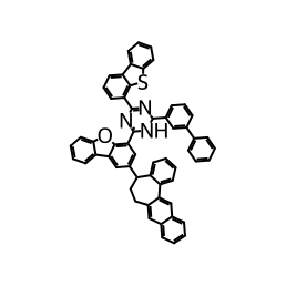 c1ccc(-c2cccc(C3N=C(c4cccc5c4sc4ccccc45)N=C(c4cc(C5CCc6cc7ccccc7cc6-c6ccccc65)cc5c4oc4ccccc45)N3)c2)cc1